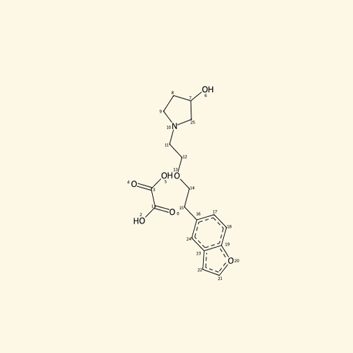 O=C(O)C(=O)O.OC1CCN(CCOCCc2ccc3occc3c2)C1